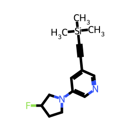 C[Si](C)(C)C#Cc1cncc(N2CCC(F)C2)c1